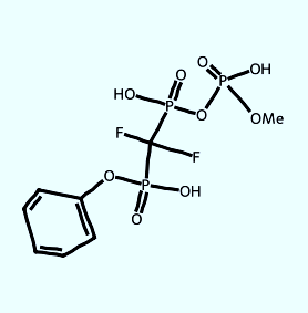 COP(=O)(O)OP(=O)(O)C(F)(F)P(=O)(O)Oc1ccccc1